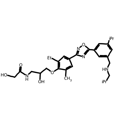 CCc1cc(-c2noc(-c3cc(CNCC(C)C)cc(C(C)C)c3)n2)cc(C)c1OCC(O)CNC(=O)CO